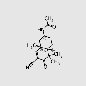 CC(=O)N[C@H]1CC[C@@H]2C(C)(C)C(=O)C(C#N)=C[C@]2(C)C1